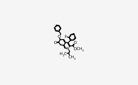 COC(=O)C1=C(c2ccccc2F)C2=CC(OCc3ccccc3)C(=O)CC2=CN1CC(C)C